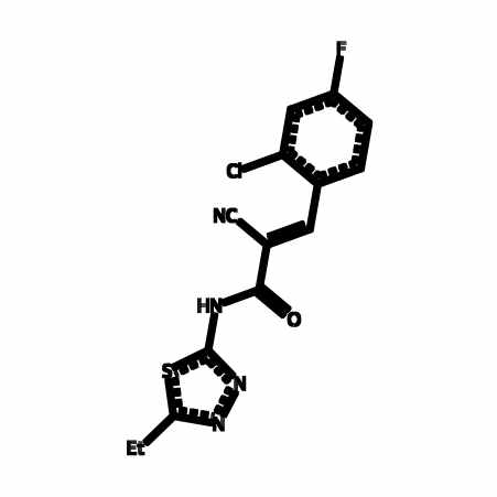 CCc1nnc(NC(=O)/C(C#N)=C/c2ccc(F)cc2Cl)s1